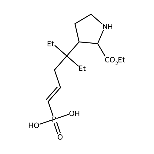 CCOC(=O)C1NCCC1C(CC)(CC)CC=CP(=O)(O)O